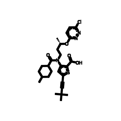 CC1CCC(C(=O)N(CC[C@H](C)Oc2ccc(Cl)nn2)c2cc(C#CC(C)(C)C)sc2C(=O)O)CC1